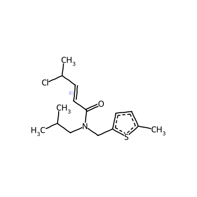 Cc1ccc(CN(CC(C)C)C(=O)/C=C/C(C)Cl)s1